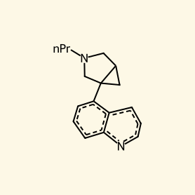 CCCN1CC2CC2(c2cccc3ncccc23)C1